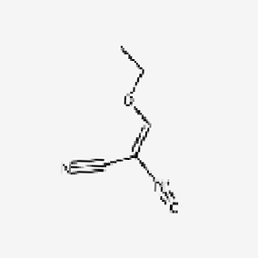 [C-]#[N+]/C(C#N)=C/OCC